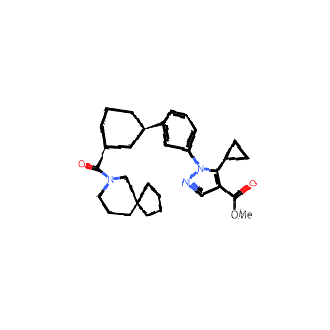 COC(=O)c1cnn(-c2cccc([C@@H]3CCC[C@H](C(=O)N4CCCC5(CCCC5)C4)C3)c2)c1C1CC1